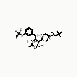 CC(=O)N[C@@H](Cc1cccc(SC(F)(F)F)c1)[C@H](O)[C@H]1CO[C@@H](OCC(C)(C)C)CN1